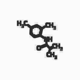 C=C(C)C(=O)Nc1ccc(C)cc1C